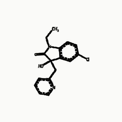 CCN1C(=O)C(O)(Cc2ccccn2)c2cc(Cl)ccc21